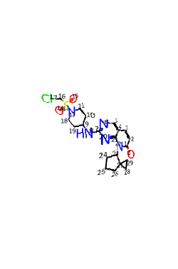 O=c1ccc2cnc(NC3CCN(S(=O)(=O)CCl)CC3)nc2n1C1CCCC12CC2